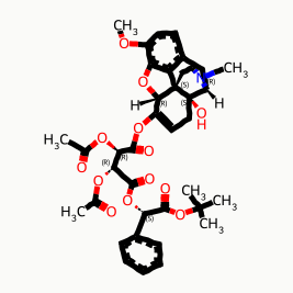 COc1ccc2c3c1O[C@H]1C(OC(=O)[C@H](OC(C)=O)[C@@H](OC(C)=O)C(=O)O[C@H](C(=O)OC(C)(C)C)c4ccccc4)=CC[C@@]4(O)[C@@H](C2)N(C)CC[C@]314